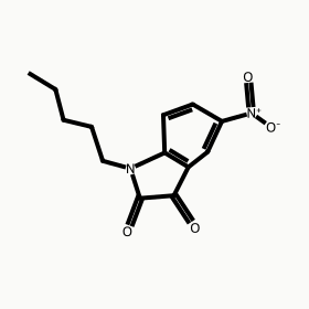 CCCCCN1C(=O)C(=O)c2cc([N+](=O)[O-])ccc21